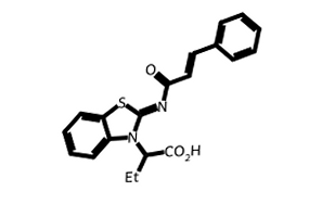 CCC(C(=O)O)n1c(=NC(=O)C=Cc2ccccc2)sc2ccccc21